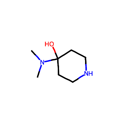 CN(C)C1(O)CCNCC1